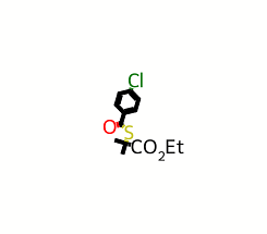 CCOC(=O)C(C)(C)SC(=O)c1ccc(Cl)cc1